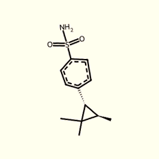 C[C@@H]1[C@@H](c2ccc(S(N)(=O)=O)cc2)C1(C)C